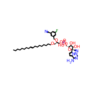 CCCCCCCC/C=C/CCCCCCCCOC[C@H](COP(=O)(O)OC[C@H]1O[C@@](C#N)(c2ccc3c(N)ncnn23)[C@H](O)[C@@H]1O)OCc1cc(F)cc(C#N)c1